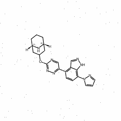 c1cnn(-c2ccc(-c3cnc(OC4C[C@H]5CCC[C@@H](C4)N5)nn3)c3cn[nH]c23)c1